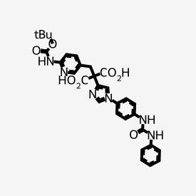 CC(C)(C)OC(=O)Nc1ccc(CC(C(=O)O)(C(=O)O)c2cn(-c3ccc(NC(=O)Nc4ccccc4)cc3)cn2)cn1